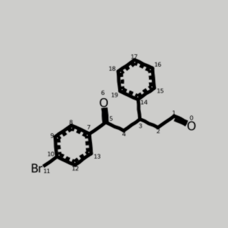 O=CCC(CC(=O)c1ccc(Br)cc1)c1ccccc1